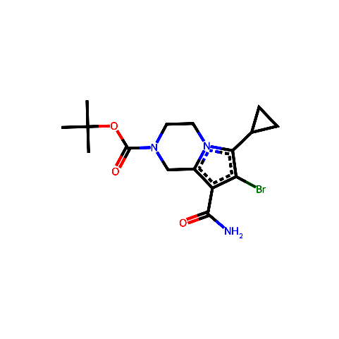 CC(C)(C)OC(=O)N1CCn2c(c(C(N)=O)c(Br)c2C2CC2)C1